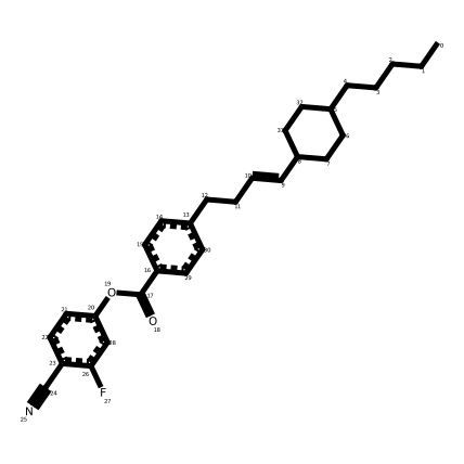 CCCCCC1CCC(C=CCCc2ccc(C(=O)Oc3ccc(C#N)c(F)c3)cc2)CC1